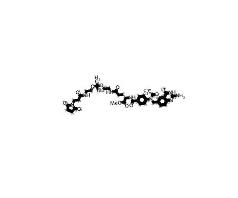 COC(=O)[C@H](CCC(=O)NCCOC(C)(OCCNC(=O)CCN1C(=O)C=CC1=O)C(C)(C)C)NC(=O)c1ccc(N(Cc2ccc3nc(N)[nH]c(=O)c3c2)C(=O)C(F)(F)F)cc1